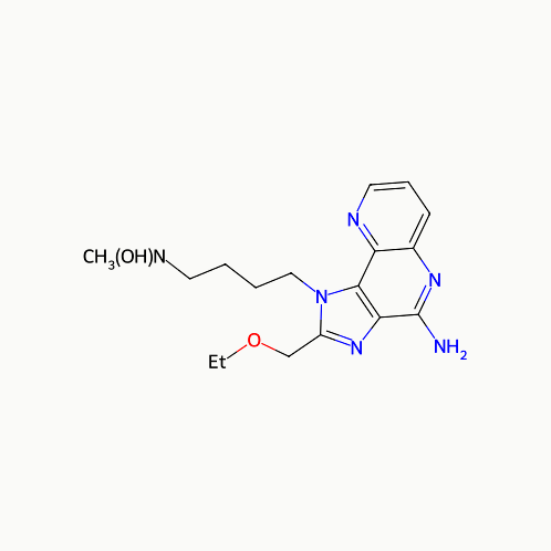 CCOCc1nc2c(N)nc3cccnc3c2n1CCCCN(C)O